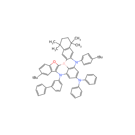 CC(C)(C)c1ccc(N2c3cc4c(cc3B3c5oc6ccc(C(C)(C)C)cc6c5N(c5cccc(-c6ccccc6)c5)c5cc(N(c6ccccc6)c6ccccc6)cc2c53)C(C)(C)CCC4(C)C)cc1